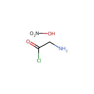 NCC(=O)Cl.O=[N+]([O-])O